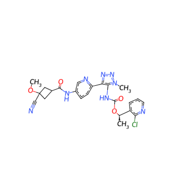 COC1(C#N)CC(C(=O)Nc2ccc(-c3nnn(C)c3NC(=O)O[C@H](C)c3cccnc3Cl)nc2)C1